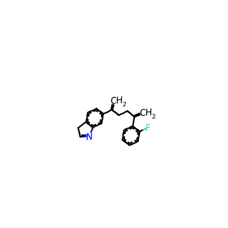 C=C(CCC(=C)c1ccccc1F)c1ccc2c(c1)N=CC2